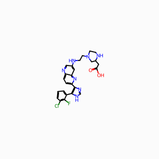 O=C(O)CC1CN(CCNc2cnc3ccc(-c4nc[nH]c4-c4cccc(Cl)c4F)nc3c2)CCN1